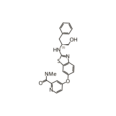 CNC(=O)c1cc(Oc2ccc3nc(N[C@H](CO)Cc4ccccc4)sc3c2)ccn1